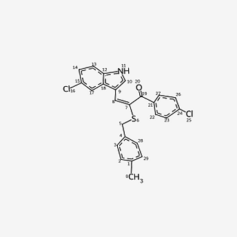 Cc1ccc(CS/C(=C/c2c[nH]c3ccc(Cl)cc23)C(=O)c2ccc(Cl)cc2)cc1